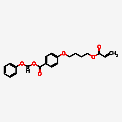 C=CC(=O)OCCCCOc1ccc(C(=O)OBOc2ccccc2)cc1